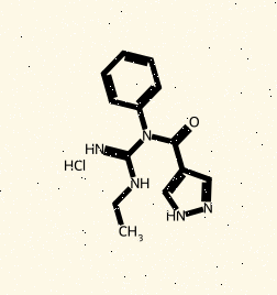 CCNC(=N)N(C(=O)c1cn[nH]c1)c1ccccc1.Cl